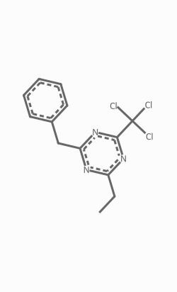 CCc1nc(Cc2ccccc2)nc(C(Cl)(Cl)Cl)n1